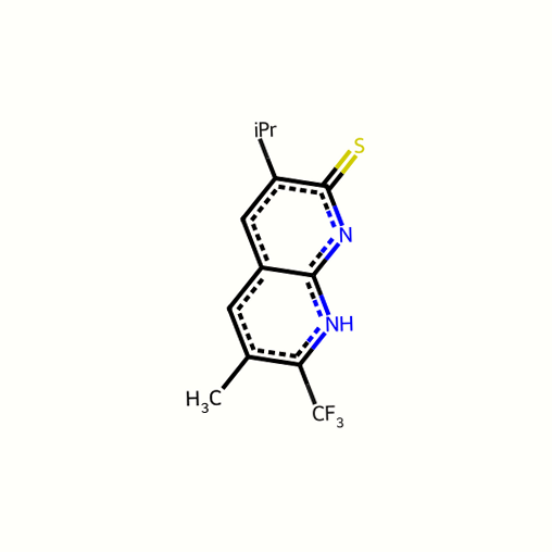 Cc1cc2cc(C(C)C)c(=S)nc-2[nH]c1C(F)(F)F